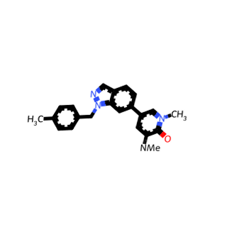 CNc1cc(-c2ccc3cnn(Cc4ccc(C)cc4)c3c2)cn(C)c1=O